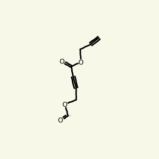 C#CCOC(=O)C#CCO[C]=O